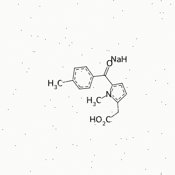 Cc1ccc(C(=O)c2ccc(CC(=O)O)n2C)cc1.[NaH]